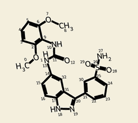 COc1cccc(OC)c1NC(=O)Nc1ccc2[nH]nc(-c3cccc(S(N)(=O)=O)c3)c2c1